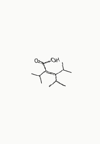 CC(C)C(C(=O)O)=C(C(C)C)C(C)C